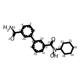 NC(=O)c1cccc(-c2cccc(C(=O)N(O)C3CCCCC3)c2)c1